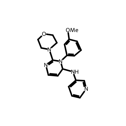 COc1cccc(N2C(N3CCOCC3)=NC=CC2Nc2cccnc2)c1